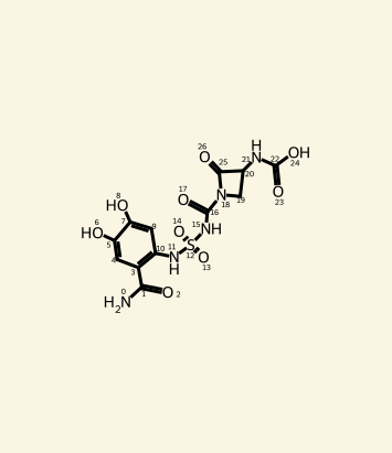 NC(=O)c1cc(O)c(O)cc1NS(=O)(=O)NC(=O)N1CC(NC(=O)O)C1=O